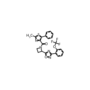 Cc1nc(C(=O)N2CCC2c2nc(-c3ccccc3OC(F)(F)F)no2)c(-c2ccccc2)s1